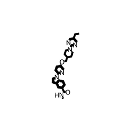 CCc1cnc(N2CCC(COc3ccc(-n4ccc5cc(C(=O)NC)ccc54)nc3)CC2)nc1